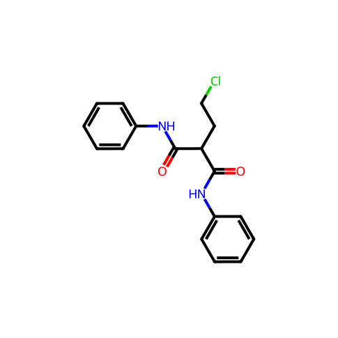 O=C(Nc1ccccc1)C(CCCl)C(=O)Nc1ccccc1